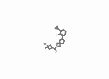 CC1(O)CC(C(=O)N2CC3(C=C(c4cccc(C5CC5)c4F)CC3)C2)C1